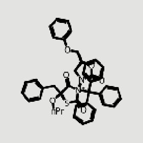 CCCOC1(Cc2ccccc2)SC(=O)[N+](N2CC(COc3ccccc3)OC2=O)(C(c2ccccc2)(c2ccccc2)c2ccccc2)C1=O